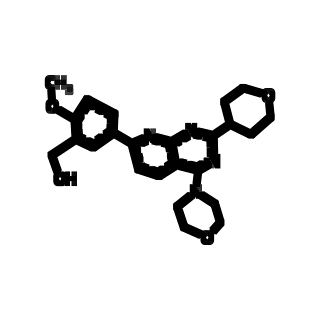 COc1ccc(-c2ccc3c(N4CCOCC4)nc(C4CCOCC4)nc3n2)cc1CO